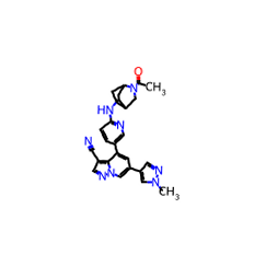 CC(=O)N1CC2CCC1CC2Nc1ccc(-c2cc(-c3cnn(C)c3)cn3ncc(C#N)c23)cn1